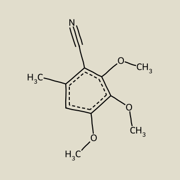 COc1cc(C)c(C#N)c(OC)c1OC